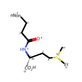 CCCCCCCCCCCC(=O)N[C@H](CC[S+](C)CC)C(=O)O